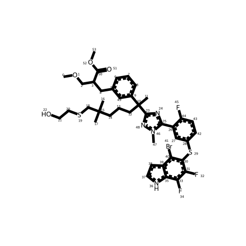 COCC(Cc1cccc(C(C)(CCCC(C)(C)CSCCO)c2nc(-c3cc(Sc4c(F)c(F)c5[nH]ccc5c4Br)ccc3F)n(C)n2)c1)C(=O)OC